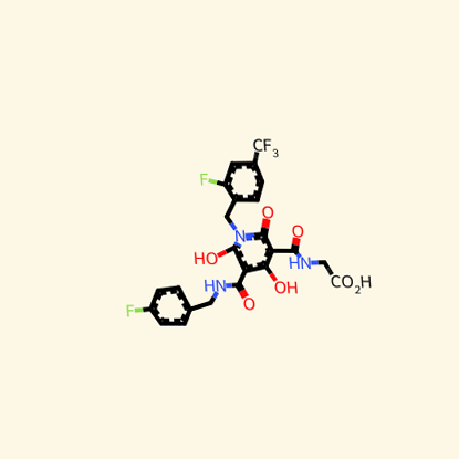 O=C(O)CNC(=O)c1c(O)c(C(=O)NCc2ccc(F)cc2)c(O)n(Cc2ccc(C(F)(F)F)cc2F)c1=O